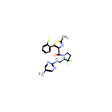 Cc1nc(C(=O)N2CCC(F)(F)[C@H]2CNc2ncc(C(F)(F)F)cn2)c(-c2ccccc2F)s1